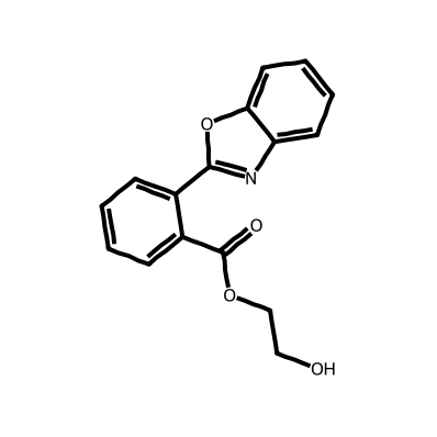 O=C(OCCO)c1ccccc1-c1nc2ccccc2o1